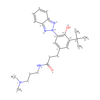 CN(C)CCCNC(=O)CCc1cc(-n2nc3ccccc3n2)c(O)c(C(C)(C)C)c1